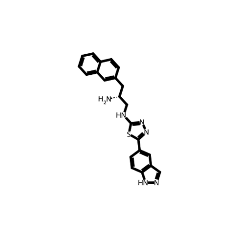 N[C@@H](CNc1nnc(-c2ccc3[nH]ncc3c2)s1)Cc1ccc2ccccc2c1